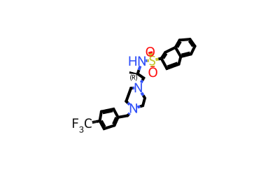 C[C@H](CN1CCN(Cc2ccc(C(F)(F)F)cc2)CC1)NS(=O)(=O)c1ccc2ccccc2c1